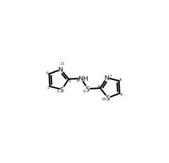 c1csc(NSc2nccs2)n1